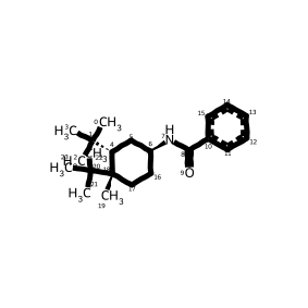 CC(C)(C)[C@@H]1C[C@@H](NC(=O)c2ccccc2)CC[C@]1(C)C(C)(C)C